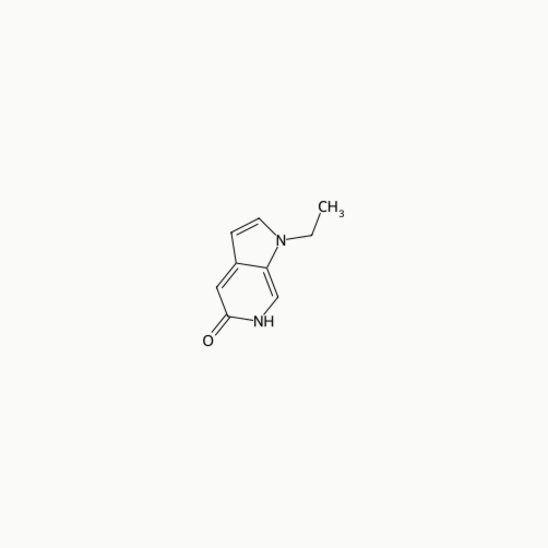 CCn1ccc2cc(=O)[nH]cc21